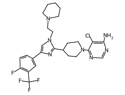 Nc1ncnc(N2CCC(c3nc(-c4ccc(F)c(C(F)(F)F)c4)cn3CCN3CCCCC3)CC2)c1Cl